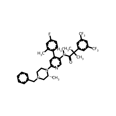 Cc1cc(F)ccc1-c1cc(N2CCN(Cc3ccccc3)C[C@H]2C)ncc1N(C)C(=O)C(C)(C)c1cc(C(F)(F)F)cc(C(F)(F)F)c1